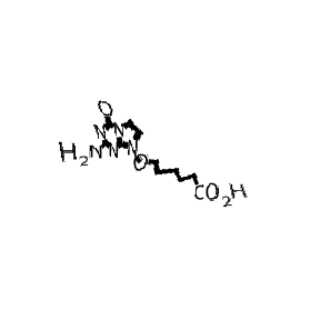 Nc1nc(=O)n2ccn(OCCCCCC(=O)O)c2n1